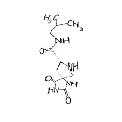 CC(C)CNC(=O)[C@H]1C[C@]2(CN1)NC(=O)NC2=O